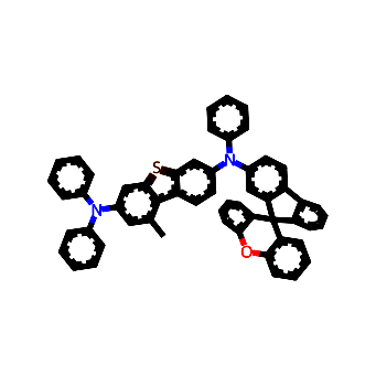 Cc1cc(N(c2ccccc2)c2ccccc2)cc2sc3cc(N(c4ccccc4)c4ccc5c(c4)C4(c6ccccc6Oc6ccccc64)c4ccccc4-5)ccc3c12